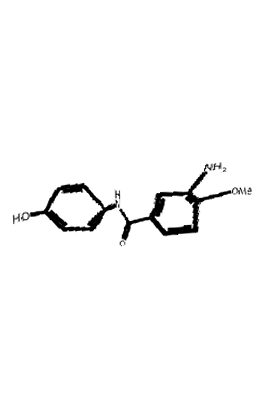 COc1ccc(C(=O)Nc2ccc(O)cc2)cc1N